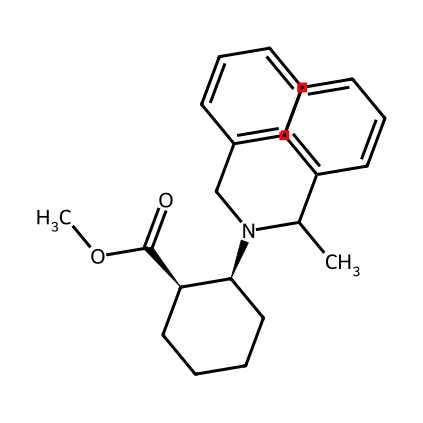 COC(=O)[C@@H]1CCCC[C@@H]1N(Cc1ccccc1)C(C)c1ccccc1